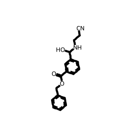 N#CCCNC(O)c1cccc(C(=O)OCc2ccccc2)c1